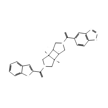 O=C(c1ccc2[nH]nnc2c1)N1C[C@@H]2[C@H](C1)[C@H]1CN(C(=O)c3cc4ccccc4[nH]3)C[C@@H]21